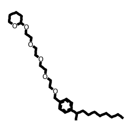 CCCCCCCCC(C)c1ccc(COCCOCCOCCOCCOC2CCCCO2)cc1